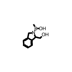 CB(O)N1Cc2ccccc2C1CO